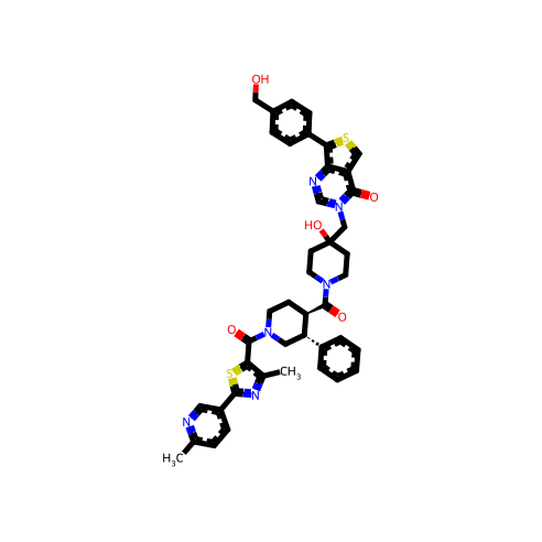 Cc1ccc(-c2nc(C)c(C(=O)N3CC[C@@H](C(=O)N4CCC(O)(Cn5cnc6c(-c7ccc(CO)cc7)scc6c5=O)CC4)[C@H](c4ccccc4)C3)s2)cn1